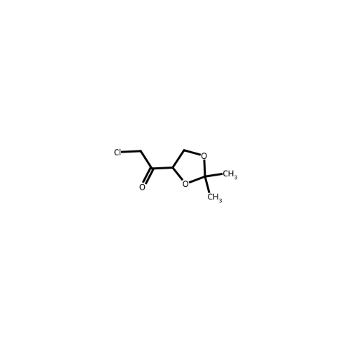 CC1(C)OCC(C(=O)CCl)O1